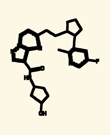 Cc1ncc(F)cc1C1CCCC1CCc1ccn2ncc(C(=O)NC3CCC(O)C3)c2n1